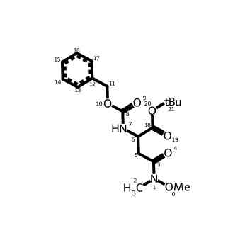 CON(C)C(=O)CC(NC(=O)OCc1ccccc1)C(=O)OC(C)(C)C